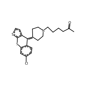 CC(=O)CCCCN1CCC(=C2c3ccc(Cl)cc3Sc3sccc32)CC1